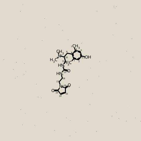 Cc1cc(O)cc(C)c1CC(CNC(=O)NCCN1C(=O)C=CC1=O)N(C)C